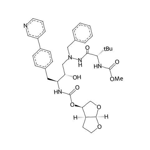 COC(=O)N[C@H](C(=O)NN(Cc1ccccc1)C[C@H](O)[C@H](Cc1ccc(-c2cccnc2)cc1)NC(=O)O[C@H]1CO[C@H]2OCC[C@H]21)C(C)(C)C